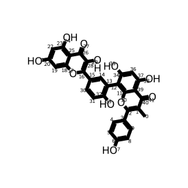 Cc1c(-c2ccc(O)cc2)oc2c(-c3cc(-c4oc5cc(O)cc(O)c5c(=O)c4O)ccc3O)c(O)cc(O)c2c1=O